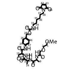 COCCOCC(=O)NC(C)C(=O)NC(C)C(=O)NC(CC(=O)O)C(=O)Nc1ccc(COC(=O)NCCCCCCN2C(=O)C=CC2=O)cc1